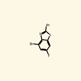 CC(C)c1nc2c(Br)cc(F)cc2s1